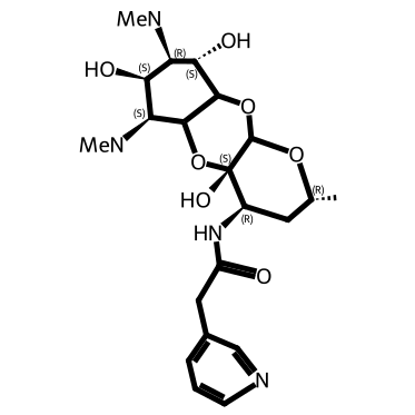 CN[C@@H]1[C@H](O)[C@H](NC)C2O[C@]3(O)C(OC2[C@H]1O)O[C@H](C)C[C@H]3NC(=O)Cc1cccnc1